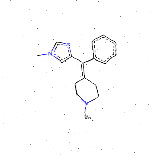 BN1CCC(=C(c2ccccc2)c2cn(C)cn2)CC1